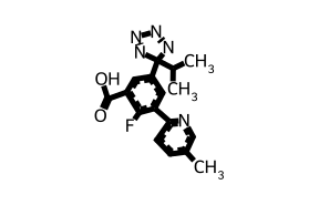 Cc1ccc(-c2cc(C3(C(C)C)N=NN=N3)cc(C(=O)O)c2F)nc1